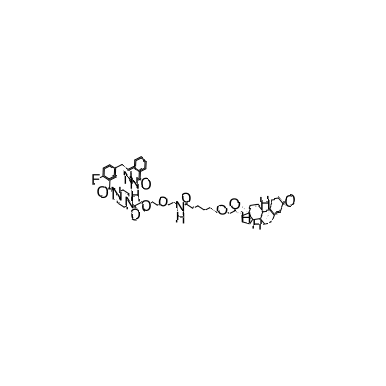 C[C@]12CC[C@H]3[C@@H](CCC4=CC(=O)CC[C@@]43C)[C@@H]1CC[C@@H]2C(=O)COCCCCCC(=O)NCCOCCOCC(=O)N1CCN(C(=O)c2cc(Cc3n[nH]c(=O)c4ccccc34)ccc2F)CC1